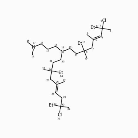 CCC(C)(Cl)/C=C(\C)CC(C)(CC)CCN(CCCN(C)C)CCC(C)(CC)C/C(C)=C/CC(C)(Cl)CC